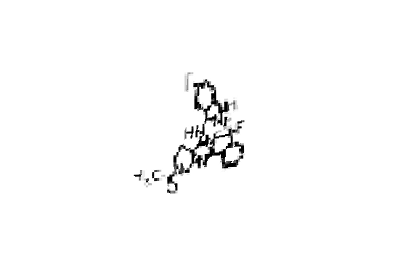 CC(=O)N1CCc2c(nc(-c3ccccc3C(F)(F)F)nc2Nc2n[nH]c3ccc(F)cc23)C1